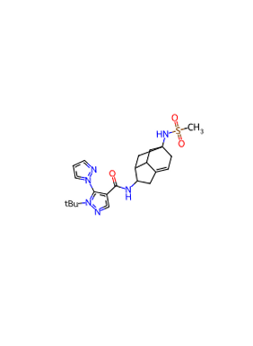 CC(C)(C)n1ncc(C(=O)NC2CC3=CCC4(NS(C)(=O)=O)CC3C2C4)c1-n1cccn1